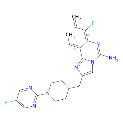 C=C/C(F)=c1/nc(N)n2cc(CC3CCN(c4ncc(F)cn4)CC3)nc2/c1=C/C